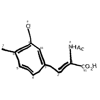 CC(=O)N/C(=C\c1ccc(C)c(Cl)c1)C(=O)O